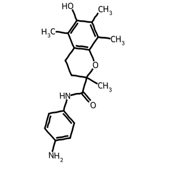 Cc1c(C)c2c(c(C)c1O)CCC(C)(C(=O)Nc1ccc(N)cc1)O2